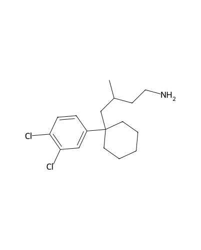 CC(CCN)CC1(c2ccc(Cl)c(Cl)c2)CCCCC1